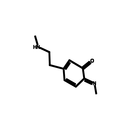 CN=C1C=CC(CCNC)=CC1=O